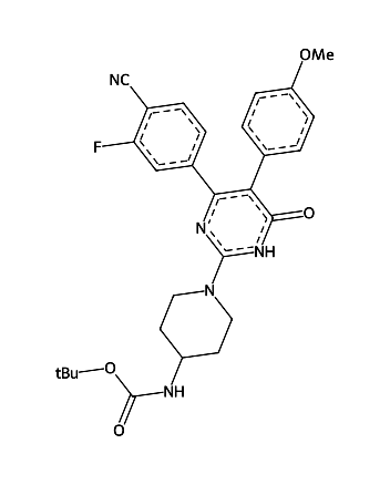 COc1ccc(-c2c(-c3ccc(C#N)c(F)c3)nc(N3CCC(NC(=O)OC(C)(C)C)CC3)[nH]c2=O)cc1